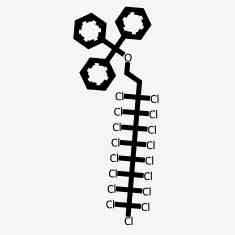 ClC(Cl)(Cl)C(Cl)(Cl)C(Cl)(Cl)C(Cl)(Cl)C(Cl)(Cl)C(Cl)(Cl)C(Cl)(Cl)C(Cl)(Cl)CCOC(c1ccccc1)(c1ccccc1)c1ccccc1